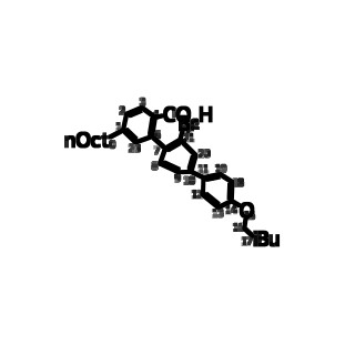 CCCCCCCCc1ccc(C(=O)O)c(-c2ccc(-c3ccc(OCC(C)CC)cc3)cc2Br)c1